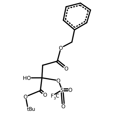 CC(C)(C)OC(=O)C(O)(CC(=O)OCc1ccccc1)OS(=O)(=O)C(F)(F)F